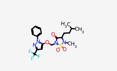 CC(C)CCC1C(=O)N(COc2cc(C(F)(F)F)nn2-c2ccccc2)S(=O)(=O)N1C